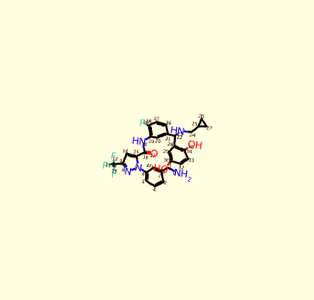 NCc1cccc(-n2nc(C(F)(F)F)cc2C(=O)Nc2cc(C(NCC3CC3)c3cc(O)ccc3O)ccc2F)c1